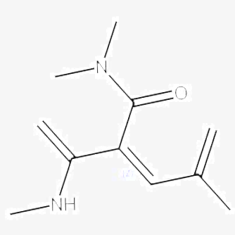 C=C(C)/C=C(/C(=C)NC)C(=O)N(C)C